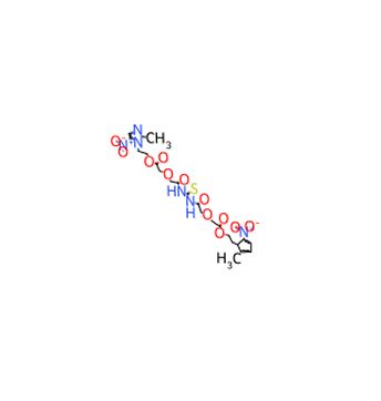 CC1=CC=C([N+](=O)[O-])C1CCOC(=O)COCC(=O)NC(=S)NC(=O)COCC(=O)OCCn1c([N+](=O)[O-])cnc1C